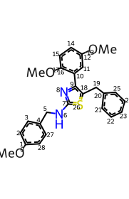 COc1ccc(CNc2nc(-c3cc(OC)ccc3OC)c(Cc3ccccc3)s2)cc1